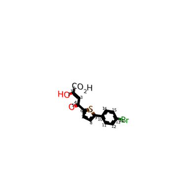 O=C(O)C(O)=CC(=O)c1ccc(-c2ccc(Br)cc2)s1